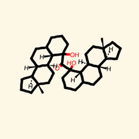 C[C@@]12CCC[C@H]1[C@@H]1CCC3CCCC(O)(C(=O)C4(O)CCCC5CC[C@@H]6[C@H](CC[C@]7(C)CCC[C@@H]67)[C@H]54)[C@@H]3[C@H]1CC2